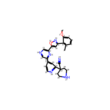 COc1cccc(C)c1-c1cc(-c2cncc(-c3ccnc(C4(C#N)CCNCC4)c3)n2)on1